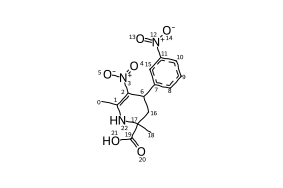 CC1=C([N+](=O)[O-])C(c2cccc([N+](=O)[O-])c2)CC(C)(C(=O)O)N1